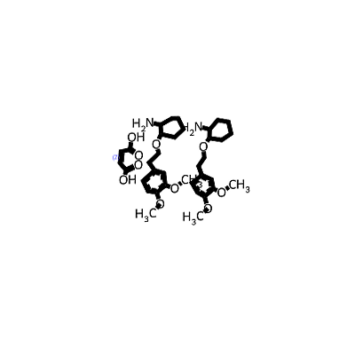 COc1ccc(CCOC2CCCCC2N)cc1OC.COc1ccc(CCOC2CCCCC2N)cc1OC.O=C(O)/C=C\C(=O)O